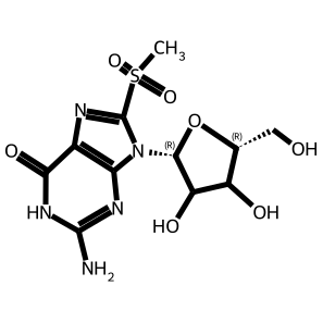 CS(=O)(=O)c1nc2c(=O)[nH]c(N)nc2n1[C@@H]1O[C@H](CO)C(O)C1O